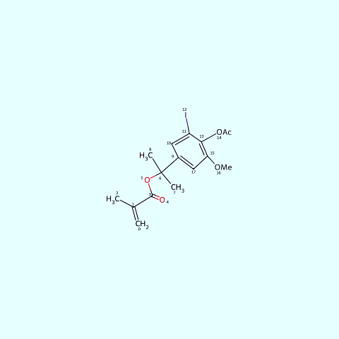 C=C(C)C(=O)OC(C)(C)c1cc(I)c(OC(C)=O)c(OC)c1